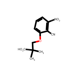 CC(C)(COc1cccc([N+](=O)[O-])c1C#N)C(=O)O